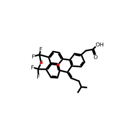 CC(C)CC=C(c1ccc(C(F)(F)F)cc1)c1ccc(CC(=O)O)cc1-c1ccc(C(F)(F)F)cc1